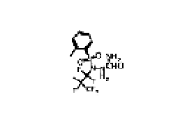 Cc1ccccc1S(=O)(=O)N(N)C(F)(F)C(C)(F)C(F)(F)F.NC=O